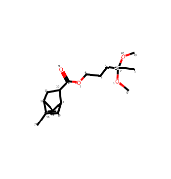 CO[Si](C)(CCCOC(=O)C1CC2CC1C=C2C)OC